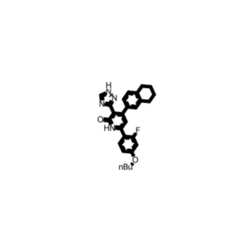 CCCCOc1ccc(-c2cc(-c3ccc4c(c3)CCCC4)c(-c3nc[nH]n3)c(=O)[nH]2)c(F)c1